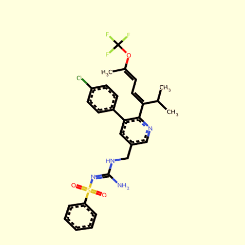 C/C(=C\C=C(\c1ncc(CN/C(N)=N/S(=O)(=O)c2ccccc2)cc1-c1ccc(Cl)cc1)C(C)C)OC(F)(F)F